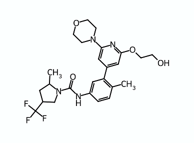 Cc1ccc(NC(=O)N2CC(C(F)(F)F)CC2C)cc1-c1cc(OCCO)nc(N2CCOCC2)c1